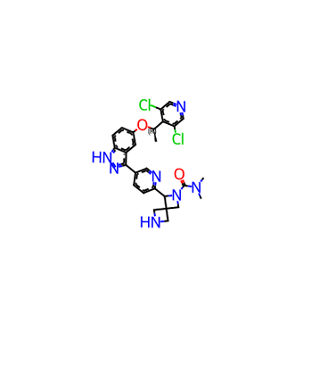 C[C@@H](Oc1ccc2[nH]nc(-c3ccc(C4N(C(=O)N(C)C)CC45CNC5)nc3)c2c1)c1c(Cl)cncc1Cl